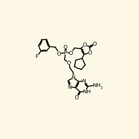 Nc1nc2c(ncn2CCOCP(=O)(OCc2cccc(F)c2)OCc2oc(=O)oc2C2CCCC2)c(=O)[nH]1